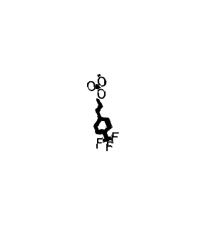 COC(=O)OCC=Cc1ccc(C(F)(F)F)cc1